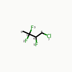 CC(F)(F)C(F)CCl